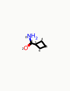 NC(=O)C1C[CH]C1